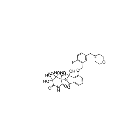 O=C1c2cccc(OCc3cc(CN4CCOCC4)ccc3F)c2C(O)(O)N1C1(O)C(=O)NC(=O)C(O)(O)C1(O)O